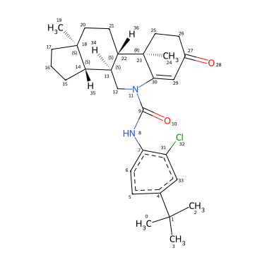 CC(C)(C)c1ccc(NC(=O)N2C[C@H]3[C@@H]4CCC[C@@]4(C)CC[C@@H]3[C@@]3(C)CCC(=O)C=C23)c(Cl)c1